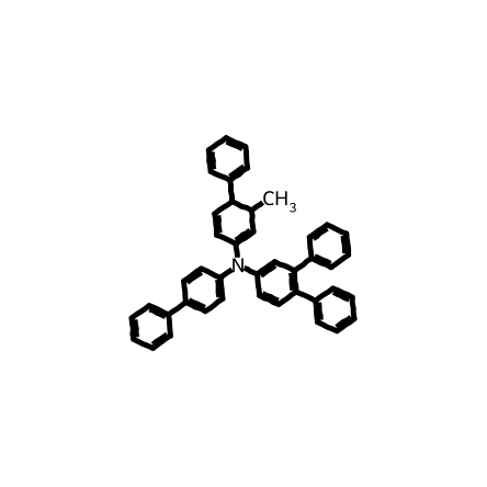 CC1C=C(N(c2ccc(-c3ccccc3)cc2)c2ccc(-c3ccccc3)c(-c3ccccc3)c2)C=CC1c1ccccc1